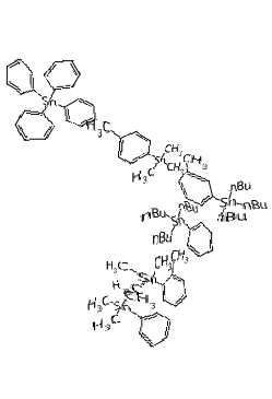 CCC[CH2][Sn]([CH2]CCC)([CH2]CCC)[c]1cccc(C)c1.CCC[CH2][Sn]([CH2]CCC)([CH2]CCC)[c]1ccccc1.Cc1cc[c]([Sn]([CH3])([CH3])[CH3])cc1.Cc1cccc[c]1[Sn]([CH3])([CH3])[CH3].[CH3][Sn]([CH3])([CH3])[c]1ccccc1.c1cc[c]([Sn]([c]2ccccc2)([c]2ccccc2)[c]2ccccc2)cc1